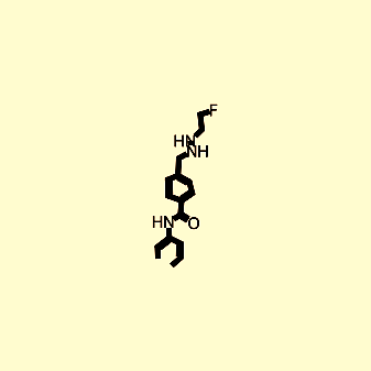 C/C=C\C(=C/C)NC(=O)c1ccc(CNNCCF)cc1